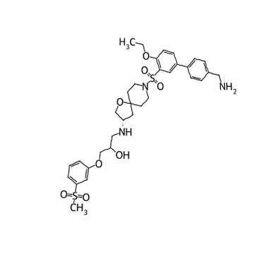 CCOc1ccc(-c2ccc(CN)cc2)cc1S(=O)(=O)N1CCC2(CC1)C[C@H](NCC(O)COc1cccc(S(C)(=O)=O)c1)CO2